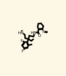 C=NC1=C(C(=O)NCCC(CC)(CCNC)c2c(C)cc(F)cc2F)CCCC1